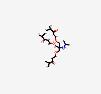 CC(C)NC(COCCC(=O)C(C)C)(COCCC(=O)C(C)C)COCCC(=O)C(C)C